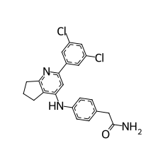 NC(=O)Cc1ccc(Nc2cc(-c3cc(Cl)cc(Cl)c3)nc3c2CCC3)cc1